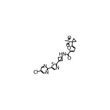 CS(=O)(=O)C1(c2ccc(C(=O)NC34CC(c5ncc(-c6ncc(Cl)cn6)s5)(C3)C4)o2)CC1